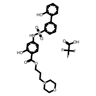 O=C(O)C(F)(F)F.O=C(OCCCN1CCOCC1)c1ccc(NS(=O)(=O)c2cccc(-c3ccccc3O)c2)cc1O